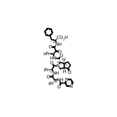 CCCC(NC(=O)[C@@H]1[C@H]2CCC(=O)[C@H]2CN1C(=O)[C@@H](NC(=O)[C@H](NC(=O)c1cnccn1)C(C)C)C(C)C)C(=O)C(=O)N[C@@H](Cc1ccccc1)C(=O)O